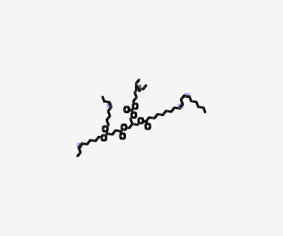 CC/C=C\CCCCOC(CCC(=O)OCC(COC(=O)CCCCCCC/C=C\C/C=C\CCCCC)COC(=O)OCCCN(CC)CC)OCCCC/C=C\CC